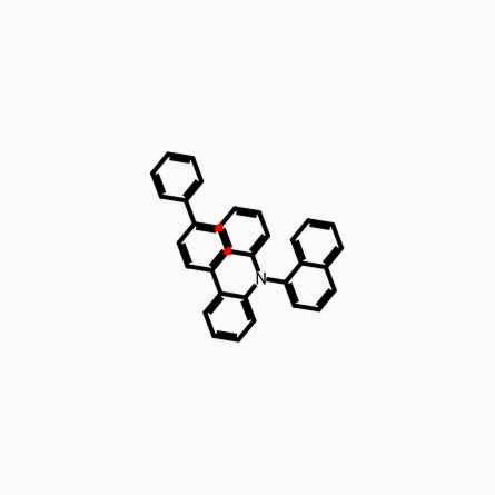 c1ccc(-c2ccc(-c3ccccc3N(c3ccccc3)c3cccc4ccccc34)cc2)cc1